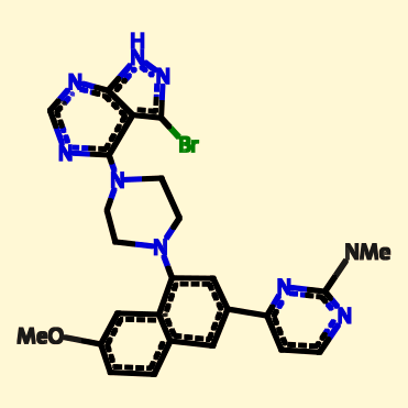 CNc1nccc(-c2cc(N3CCN(c4ncnc5[nH]nc(Br)c45)CC3)c3cc(OC)ccc3c2)n1